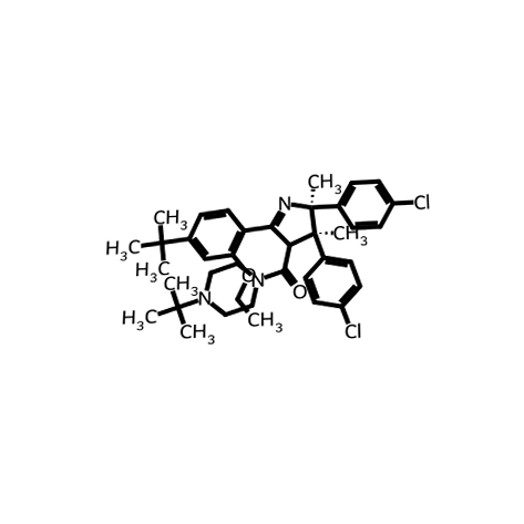 CCOc1cc(C(C)(C)C)ccc1C1=N[C@@](C)(c2ccc(Cl)cc2)[C@@](C)(c2ccc(Cl)cc2)C1C(=O)N1CCN(C(C)(C)C)CC1